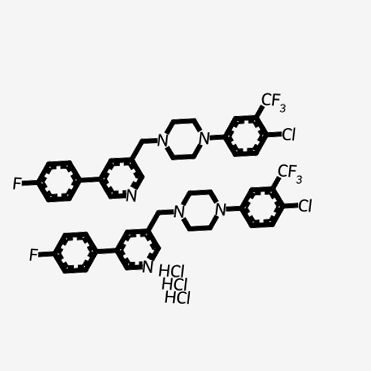 Cl.Cl.Cl.Fc1ccc(-c2cncc(CN3CCN(c4ccc(Cl)c(C(F)(F)F)c4)CC3)c2)cc1.Fc1ccc(-c2cncc(CN3CCN(c4ccc(Cl)c(C(F)(F)F)c4)CC3)c2)cc1